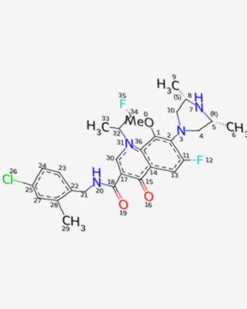 COc1c(N2C[C@@H](C)N[C@@H](C)C2)c(F)cc2c(=O)c(C(=O)NCc3ccc(Cl)cc3C)cn(C(C)CF)c12